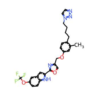 Cc1cc(OCc2coc(-c3cc4cc(OC(F)(F)F)ccc4[nH]3)n2)ccc1CCCCn1ccnn1